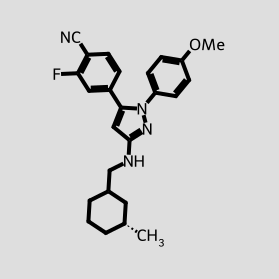 COc1ccc(-n2nc(NCC3CCC[C@@H](C)C3)cc2-c2ccc(C#N)c(F)c2)cc1